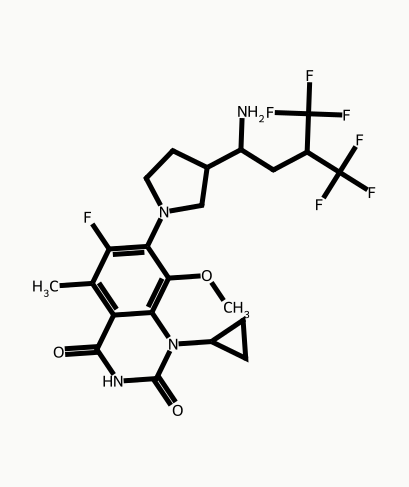 COc1c(N2CCC(C(N)CC(C(F)(F)F)C(F)(F)F)C2)c(F)c(C)c2c(=O)[nH]c(=O)n(C3CC3)c12